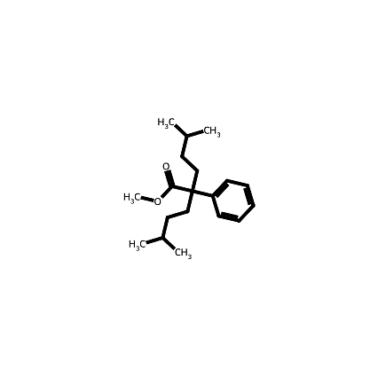 COC(=O)C(CCC(C)C)(CCC(C)C)c1ccccc1